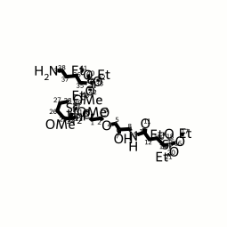 C=CC(=O)OCC(O)CNC(=O)CCC[Si](OCC)(OCC)OCC.CCCC1(OC)CCCC[Si]1(OC)OC.CCO[Si](CCCCN)(OCC)OCC